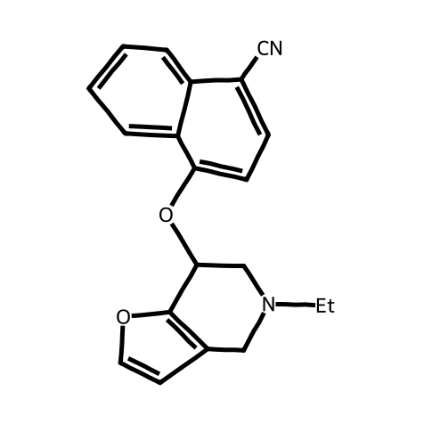 CCN1Cc2ccoc2C(Oc2ccc(C#N)c3ccccc23)C1